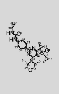 C[C@H]1COC[C@H](C)N1c1cc(C2(S(=O)(=O)C3CC3)CC2)nc(-c2ccc(NC(=O)NC3CC3)cc2)n1